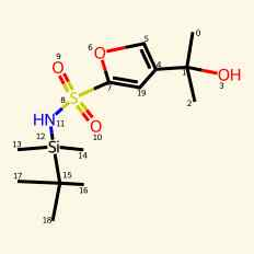 CC(C)(O)c1coc(S(=O)(=O)N[Si](C)(C)C(C)(C)C)c1